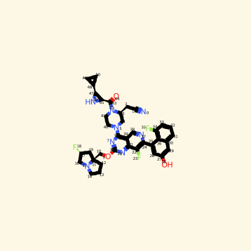 N#CC[C@H]1CN(c2nc(OC[C@@]34CCCN3C[C@H](F)C4)nc3c(F)c(-c4cc(O)cc5cccc(F)c45)ncc23)CCN1C(=O)[C@H]1N[C@H]1C1CC1